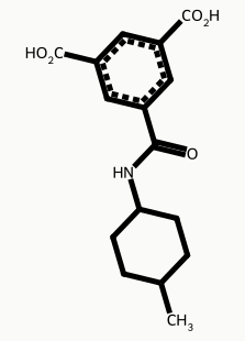 CC1CCC(NC(=O)c2cc(C(=O)O)cc(C(=O)O)c2)CC1